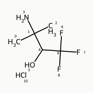 CC(C)(N)C(O)C(F)(F)F.Cl